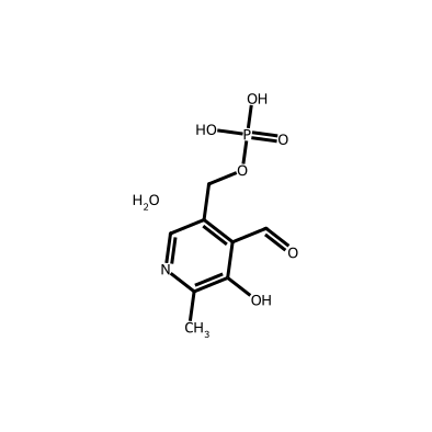 Cc1ncc(COP(=O)(O)O)c(C=O)c1O.O